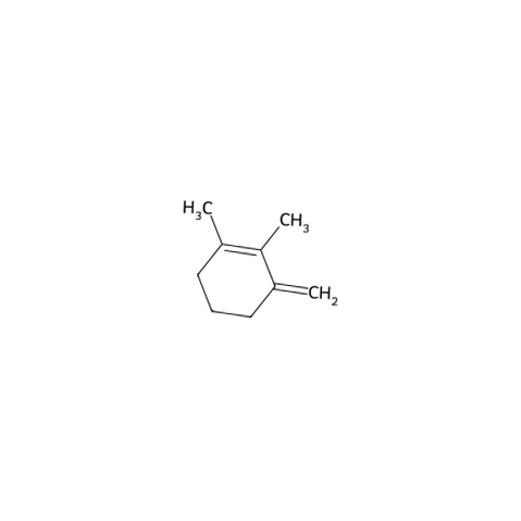 C=C1CCCC(C)=C1C